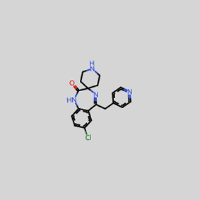 O=C1Nc2ccc(Cl)cc2C(Cc2ccncc2)=NC12CCNCC2